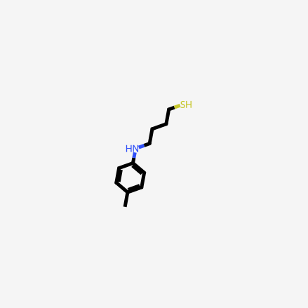 Cc1ccc(NCCCCS)cc1